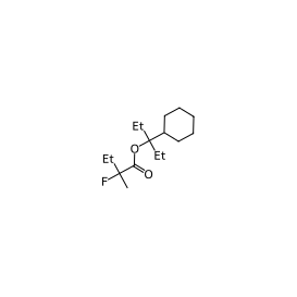 CCC(C)(F)C(=O)OC(CC)(CC)C1CCCCC1